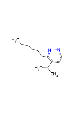 CCCCCCc1nnccc1C(C)C